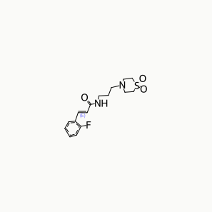 O=C(/C=C/c1ccccc1F)NCCCN1CCS(=O)(=O)CC1